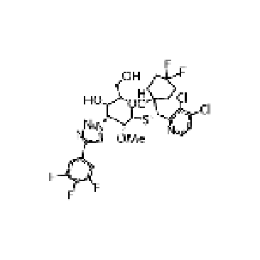 CO[C@@H]1[C@@H](n2cc(-c3cc(F)c(F)c(F)c3)nn2)[C@@H](O)[C@@H](CO)O[C@H]1S[C@@H](c1nccc(Cl)c1Cl)C1(O)CCC(F)(F)CC1